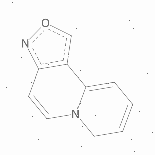 C1=CCN2C=Cc3nocc3C2=C1